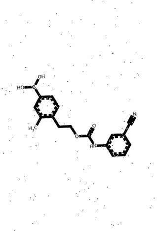 Cc1cc(B(O)O)ccc1CCOC(=O)Nc1cccc(C#N)c1